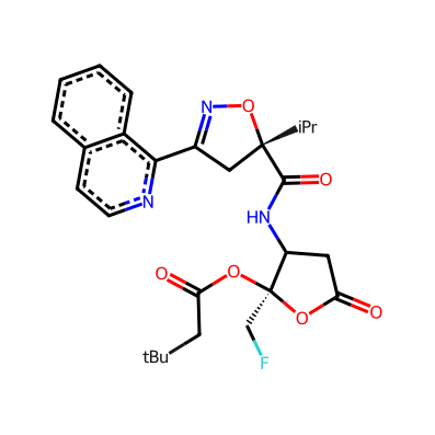 CC(C)[C@@]1(C(=O)NC2CC(=O)O[C@@]2(CF)OC(=O)CC(C)(C)C)CC(c2nccc3ccccc23)=NO1